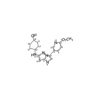 COc1ccc(-c2cnc3sc(NC4CCC(O)CC4)nn23)cn1